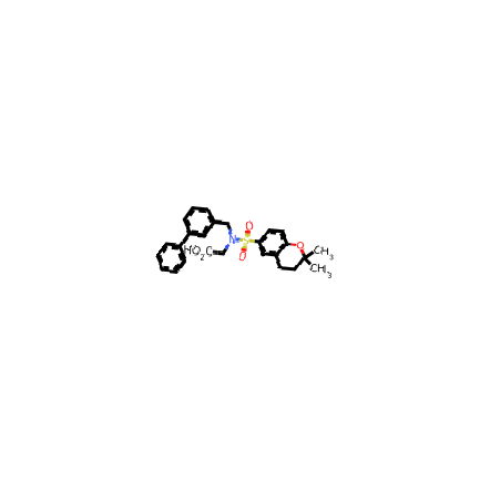 CC1(C)CCc2cc(S(=O)(=O)N(CC(=O)O)Cc3cccc(-c4ccccc4)c3)ccc2O1